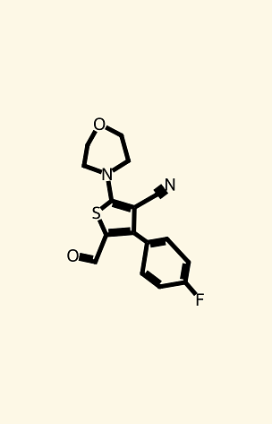 N#Cc1c(N2CCOCC2)sc(C=O)c1-c1ccc(F)cc1